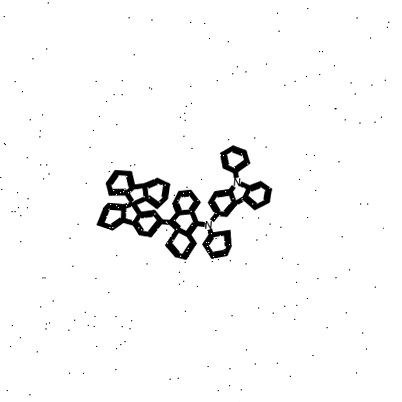 c1ccc(N(c2ccc3c(c2)c2ccccc2n3-c2ccccc2)c2c3ccccc3c(-c3ccc4c(c3)C3(c5ccccc5-c5ccccc53)c3ccccc3-4)c3ccccc23)cc1